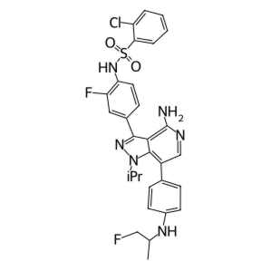 CC(CF)Nc1ccc(-c2cnc(N)c3c(-c4ccc(NS(=O)(=O)c5ccccc5Cl)c(F)c4)nn(C(C)C)c23)cc1